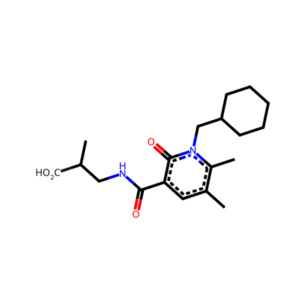 Cc1cc(C(=O)NCC(C)C(=O)O)c(=O)n(CC2CCCCC2)c1C